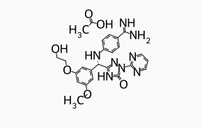 CC(=O)O.COc1cc(OCCO)cc([C@H](Nc2ccc(C(=N)N)cc2)c2nn(-c3ncccn3)c(=O)[nH]2)c1